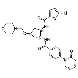 O=C(N[C@@H]1C[C@@H](OCN2CCOCC2)C[C@H]1NC(=O)c1ccc(Cl)s1)c1ccc(-n2ccccc2=O)cc1